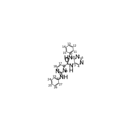 O=C(Nc1cncnc1Nc1ccccc1)c1ccnc(Nc2ccccc2)n1